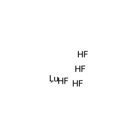 F.F.F.F.[Lu]